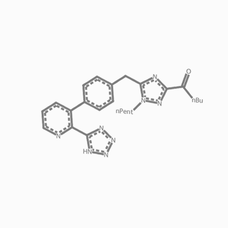 CCCCCn1nc(C(=O)CCCC)nc1Cc1ccc(-c2cccnc2-c2nnn[nH]2)cc1